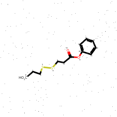 O=C(O)CCSSCCC(=O)Oc1ccccc1